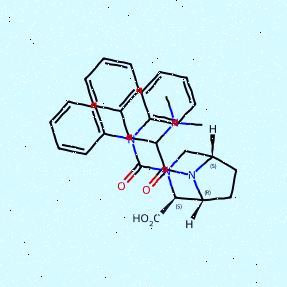 CN(C)C(Cc1ccccc1)C(=O)N1[C@H]2CC[C@@H]1[C@@H](C(=O)O)N(C(=O)N(c1ccccc1)c1ccccc1)C2